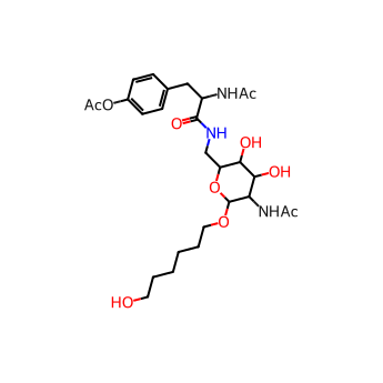 CC(=O)NC(Cc1ccc(OC(C)=O)cc1)C(=O)NCC1OC(OCCCCCCO)C(NC(C)=O)C(O)C1O